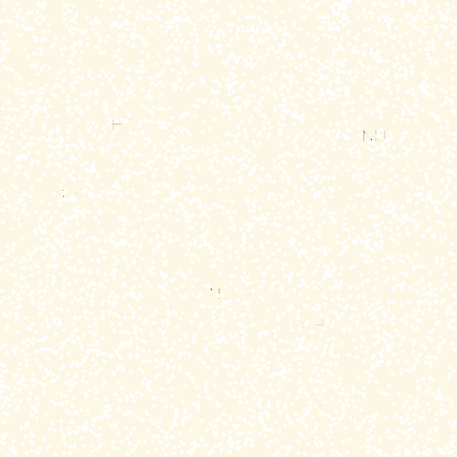 NOCc1cc(C(=O)O)nc2cc(O)c(O)cc12